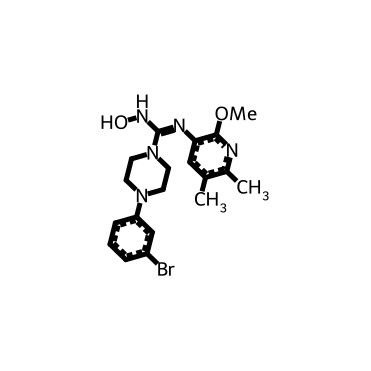 COc1nc(C)c(C)cc1N=C(NO)N1CCN(c2cccc(Br)c2)CC1